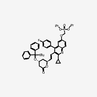 CC(C)OP(=O)(COc1ccc2nc(C3CC3)c(/C=C/[C@@H]3C[C@@H](OC(c4ccccc4)(c4ccccc4)C(C)(C)C)CC(=O)O3)c(-c3ccc(F)cc3)c2c1)OC(C)C